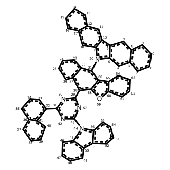 c1ccc2cc3c(cc2c1)c1cc2ccccc2cc1n3-c1c2ccccc2c(-c2nc(-c3cccc4ccccc34)nc(-n3c4ccccc4c4ccccc43)n2)c2oc3ccccc3c12